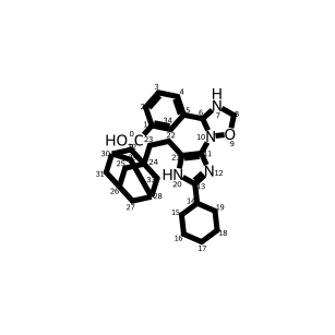 O=C(O)c1cccc(C2NCON2c2nc(C3CCCCC3)[nH]c2CCC23CC4CC(CC(C4)C2)C3)c1